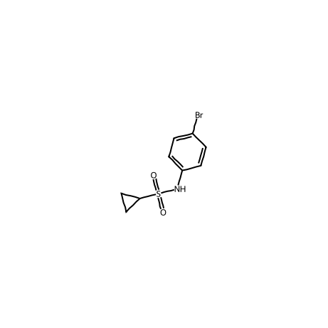 O=S(=O)(Nc1ccc(Br)cc1)C1CC1